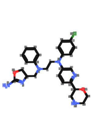 NC1=NC(CN(CCN(c2ccc(Cl)cc2)c2ccc(C3CNCCO3)nc2)c2ccccc2)CO1